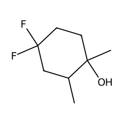 CC1CC(F)(F)CCC1(C)O